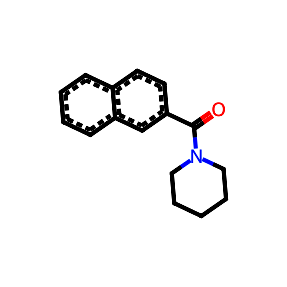 O=C(c1ccc2ccccc2c1)N1CCCCC1